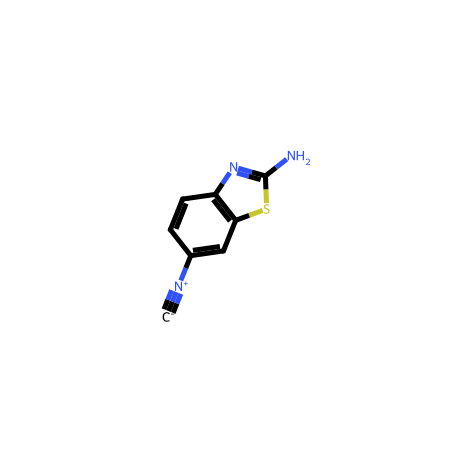 [C-]#[N+]c1ccc2nc(N)sc2c1